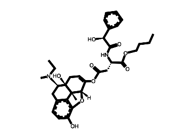 CCCCOC(=O)[C@H](CC(=O)OC1=CC[C@@]2(O)[C@H](N(C)CC)Cc3ccc(O)c4c3[C@@]2(C)[C@H]1O4)NC(=O)[C@@H](O)c1ccccc1